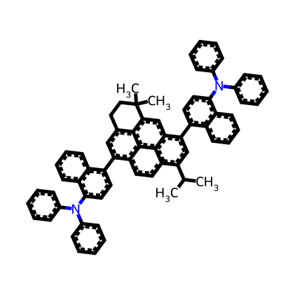 CC(C)c1cc(-c2ccc(N(c3ccccc3)c3ccccc3)c3ccccc23)c2cc3c4c(cc(-c5ccc(N(c6ccccc6)c6ccccc6)c6ccccc56)c5ccc1c2c54)CCC3(C)C